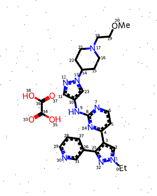 CCn1cc(-c2ccnc(Nc3cnn(C4CCN(CCOC)CC4)c3)n2)c(-c2cccnc2)n1.O=C(O)C(=O)O